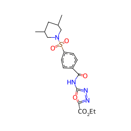 CCOC(=O)c1nnc(NC(=O)c2ccc(S(=O)(=O)N3CC(C)CC(C)C3)cc2)o1